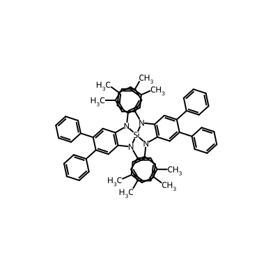 Cc1cc(C)cc(N2c3cc(-c4ccccc4)c(-c4ccccc4)cc3N(c3cc(C)cc(C)c3)[Si]23N(c2cc(C)cc(C)c2)c2cc(-c4ccccc4)c(-c4ccccc4)cc2N3c2cc(C)cc(C)c2)c1